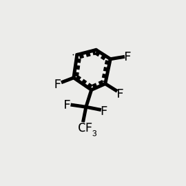 Fc1[c]cc(F)c(F)c1C(F)(F)C(F)(F)F